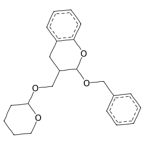 c1ccc(COC2Oc3ccccc3CC2COC2CCCCO2)cc1